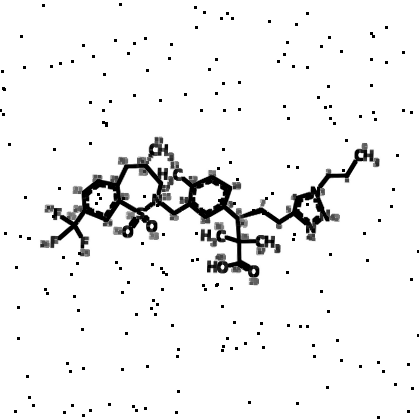 CCCn1cc(CC[C@H](c2ccc(C)c(CN3C[C@@H](C)Cc4ccc(C(F)(F)F)cc4S3(=O)=O)c2)C(C)(C)C(=O)O)nn1